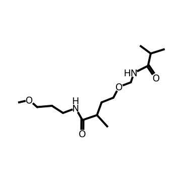 COCCCNC(=O)C(C)CCOCNC(=O)C(C)C